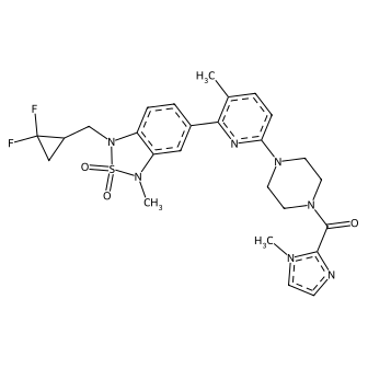 Cc1ccc(N2CCN(C(=O)c3nccn3C)CC2)nc1-c1ccc2c(c1)N(C)S(=O)(=O)N2CC1CC1(F)F